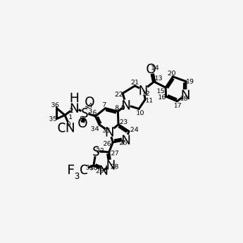 N#CC1(NS(=O)(=O)c2cc(N3CCN(C(=O)c4ccncc4)CC3)c3cnc(-c4nnc(C(F)(F)F)s4)n3c2)CC1